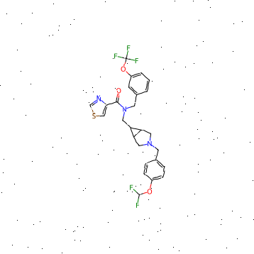 O=C(c1cscn1)N(Cc1cccc(OC(F)(F)F)c1)CC1C2CN(Cc3ccc(OC(F)F)cc3)CC21